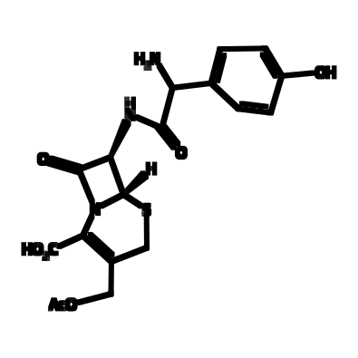 CC(=O)OCC1=C(C(=O)O)N2C(=O)[C@@H](NC(=O)C(N)c3ccc(O)cc3)[C@@H]2SC1